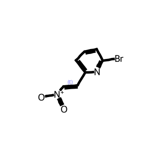 O=[N+]([O-])/C=C/c1cccc(Br)n1